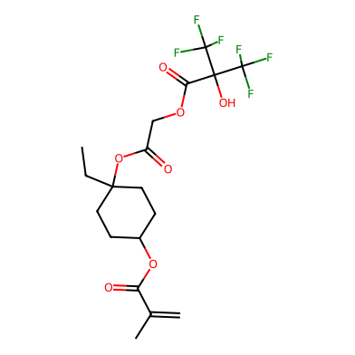 C=C(C)C(=O)OC1CCC(CC)(OC(=O)COC(=O)C(O)(C(F)(F)F)C(F)(F)F)CC1